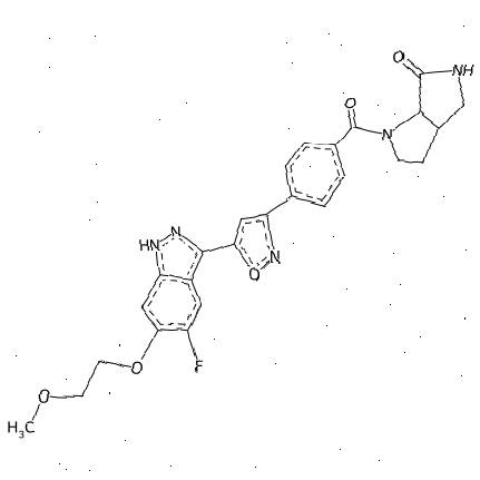 COCCOc1cc2[nH]nc(-c3cc(-c4ccc(C(=O)N5CCC6CNC(=O)C65)cc4)no3)c2cc1F